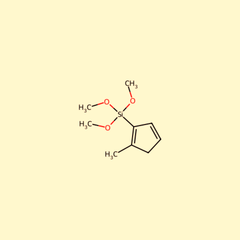 CO[Si](OC)(OC)C1=C(C)CC=C1